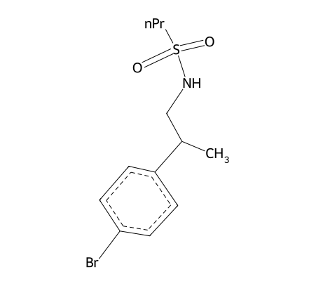 CCCS(=O)(=O)NCC(C)c1ccc(Br)cc1